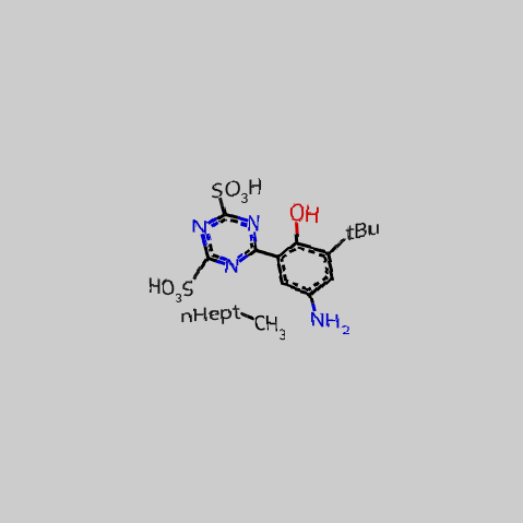 CC(C)(C)c1cc(N)cc(-c2nc(S(=O)(=O)O)nc(S(=O)(=O)O)n2)c1O.CCCCCCCC